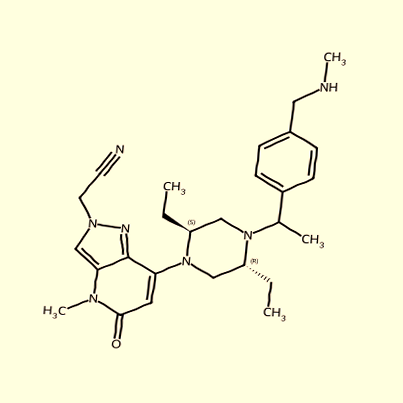 CC[C@H]1CN(C(C)c2ccc(CNC)cc2)[C@H](CC)CN1c1cc(=O)n(C)c2cn(CC#N)nc12